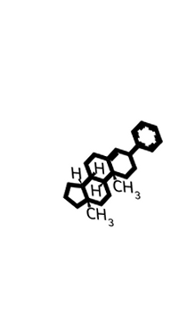 C[C@@]12CCC[C@H]1[C@@H]1CCC3=CC(c4ccccc4)CC[C@]3(C)[C@H]1CC2